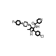 Cc1[nH]c(-c2ccc(Cl)cc2)c(NC(=O)c2ccncc2)c1CN1CCN(c2ccc(F)cc2)CC1